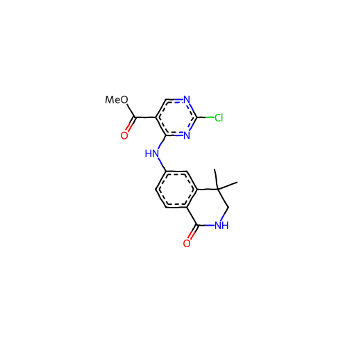 COC(=O)c1cnc(Cl)nc1Nc1ccc2c(c1)C(C)(C)CNC2=O